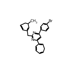 CC1C=C(Cc2nc(C3=CCC=CC=C3)cc(-c3ccc(Br)cc3)n2)C=CC1